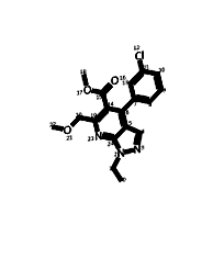 CCn1ncc2c(-c3cccc(Cl)c3)c(C(=O)OC)c(COC)nc21